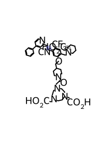 N#Cc1c(-c2ccccc2)ccnc1/C=C/c1cc(OCC2CCN(C(=O)CN3CCN(CC(=O)O)CCN(CC(=O)O)CC3)CC2)c(CN2CCCC[C@H]2C(=O)O)cc1C(F)(F)F